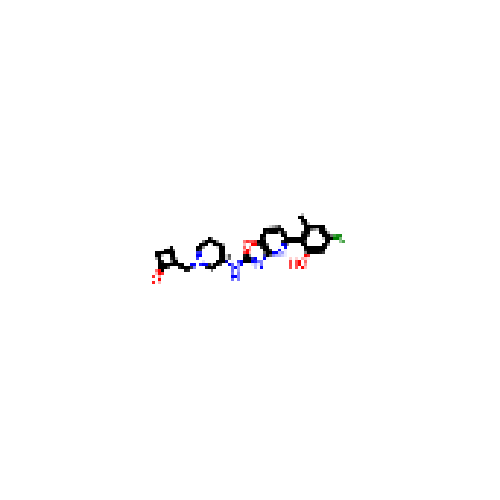 Cc1cc(Cl)cc(O)c1-c1ccc2oc(N[C@@H]3CCCN(CC4CCC4=O)C3)nc2n1